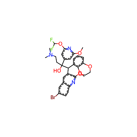 COc1cc(C(O)(CCN(C)C)C(c2cc3cc(Br)ccc3nc2OC)c2cccc3c2OCCO3)cc(OC(F)F)n1